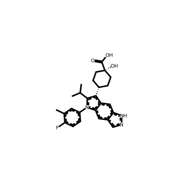 Cc1cc(-n2c(C(C)C)c([C@H]3CC[C@](O)(C(=O)O)CC3)c3cc4[nH]ncc4cc32)ccc1F